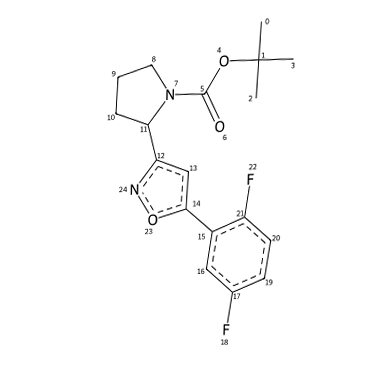 CC(C)(C)OC(=O)N1CCCC1c1cc(-c2cc(F)ccc2F)on1